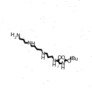 C[C@@H](NC(=O)OC(C)(C)C)C(=O)NCCCNCCCCNCCCN